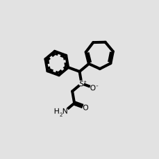 NC(=O)C[S+]([O-])C(C1=CCCC=CC1)c1ccccc1